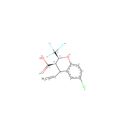 C=CC1c2cc(Cl)ccc2O[C@H](C(F)(F)F)[C@@H]1C(=O)O